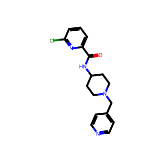 O=C(NC1CCN(Cc2ccncc2)CC1)c1cccc(Cl)n1